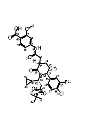 COc1cc(NC(=O)C[C@@]2(C)C[C@H](C)[C@@H](c3ccc(Cl)c(F)c3)N([C@H](CS(=O)(=O)C(C)(C)C)C3CC3)C2=O)ccc1C(=O)O